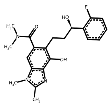 Cc1nc2c(O)c(CC[C@@H](O)c3ccccc3F)c(C(=O)N(C)C)cc2n1C